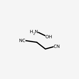 N#CCCC#N.NO